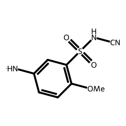 COc1ccc([NH])cc1S(=O)(=O)NC#N